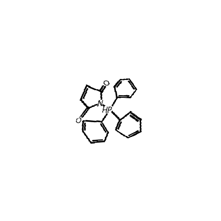 O=C1C=CC(=O)N1[PH](c1ccccc1)(c1ccccc1)c1ccccc1